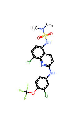 CN(C)S(=O)(=O)Nc1ccc(Cl)c2nc(Nc3ccc(OC(F)(F)F)c(Cl)c3)ccc12